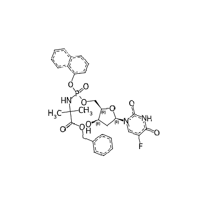 CC(C)(NP(=O)(OC[C@H]1O[C@@H](n2cc(F)c(=O)[nH]c2=O)C[C@H]1O)Oc1cccc2ccccc12)C(=O)OCc1ccccc1